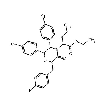 CCC[C@@H](C(=O)OCC)N1C(=O)[C@@H](Cc2ccc(F)cc2)O[C@H](c2ccc(Cl)cc2)[C@@H]1c1ccc(Cl)cc1